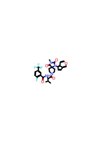 CC(C)C(NC(=O)c1cc(C(F)(F)F)ccc1F)C(=O)N1CCC2(CC1)C(=O)N(C)C(=O)N2c1ccc2coccc1-2